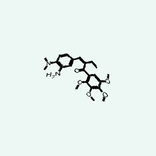 CCC(=Cc1ccc(N(C)C)c(N)c1)C(=O)c1cc(OC)c(OC)c(OC)c1OC